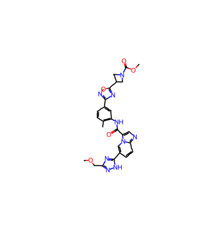 COCc1n[nH]c(-c2ccc3ncc(C(=O)Nc4cc(-c5noc(C6CN(C(=O)OC)C6)n5)ccc4C)n3c2)n1